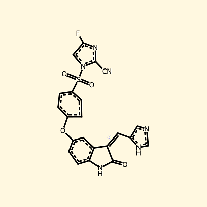 N#Cc1nc(F)cn1S(=O)(=O)c1ccc(Oc2ccc3c(c2)/C(=C/c2cnc[nH]2)C(=O)N3)cc1